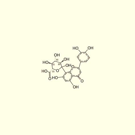 O=C(O)[C@H]1OC(O)(c2c(O)cc(O)c3c(=O)cc(-c4ccc(O)c(O)c4)oc23)[C@H](O)[C@@H](O)[C@@H]1O